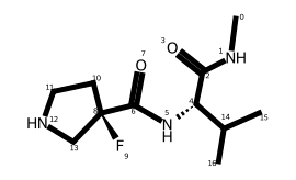 CNC(=O)[C@@H](NC(=O)[C@@]1(F)CCNC1)C(C)C